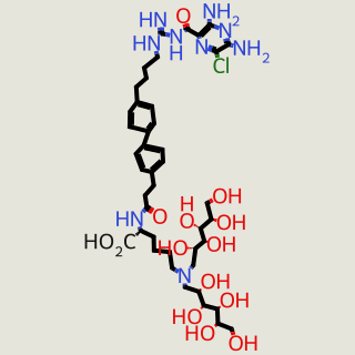 N=C(NCCCCc1ccc(-c2ccc(CCC(=O)N[C@@H](CCCCN(C[C@H](O)[C@@H](O)[C@H](O)[C@H](O)CO)C[C@H](O)[C@@H](O)[C@H](O)[C@H](O)CO)C(=O)O)cc2)cc1)NC(=O)c1nc(Cl)c(N)nc1N